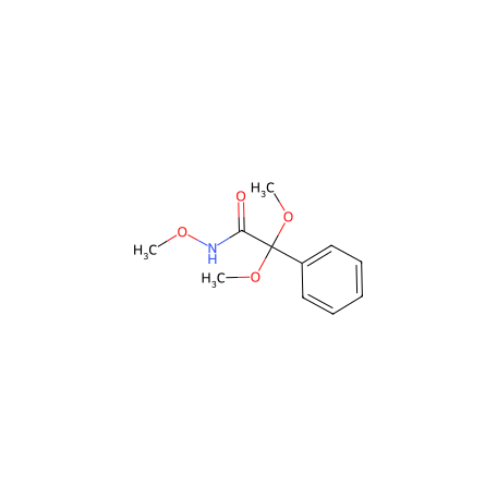 CONC(=O)C(OC)(OC)c1ccccc1